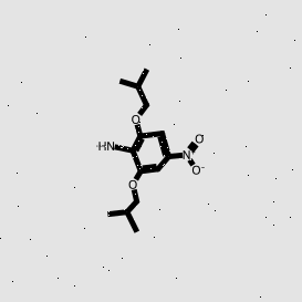 CC(C)COc1cc([N+](=O)[O-])cc(OCC(C)C)c1[NH]